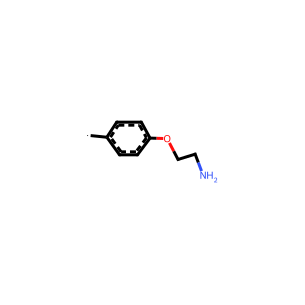 [CH2]c1ccc(OCCN)cc1